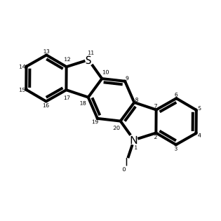 In1c2ccccc2c2cc3sc4ccccc4c3cc21